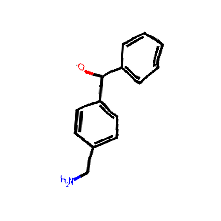 NCc1ccc(C([O])c2ccccc2)cc1